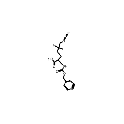 [N-]=[N+]=NCC(F)(F)CCC(NC(=O)OCc1ccccc1)C(=O)O